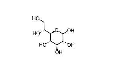 OC[C@@H](O)[C@H]1OC(O)[C@H](O)[C@@H](O)[C@@H]1O